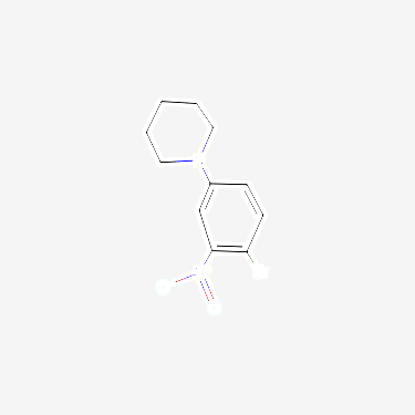 O=[N+]([O-])c1cc(N2CCCCC2)ccc1Br